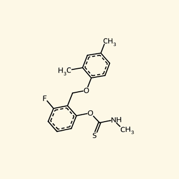 CNC(=S)Oc1cccc(F)c1COc1ccc(C)cc1C